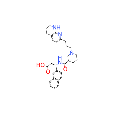 O=C(O)C[C@@H](NC(=O)[C@@H]1CCCN(CCCc2ccc3c(n2)NCCC3)C1)c1ccc2ccccc2c1